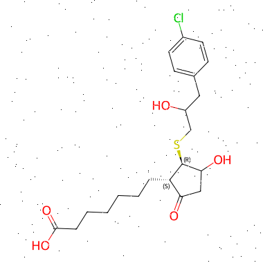 O=C(O)CCCCCC[C@H]1C(=O)CC(O)[C@@H]1SCC(O)Cc1ccc(Cl)cc1